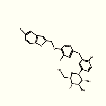 OC[C@H]1O[C@@H](c2ccc(Cl)c(Cc3ccc(OCc4cc5cc(F)ccc5o4)c(F)c3)c2)[C@H](O)[C@@H](O)[C@@H]1O